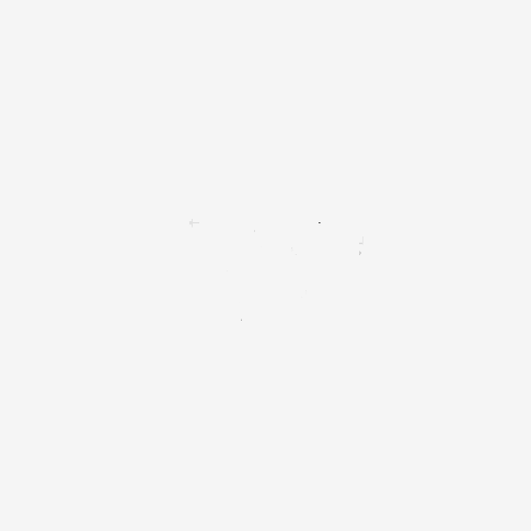 CC(O)C(=S)OC(=O)CS